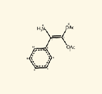 CC(=O)OC(OC(C)=O)=C([SiH3])c1ccccc1